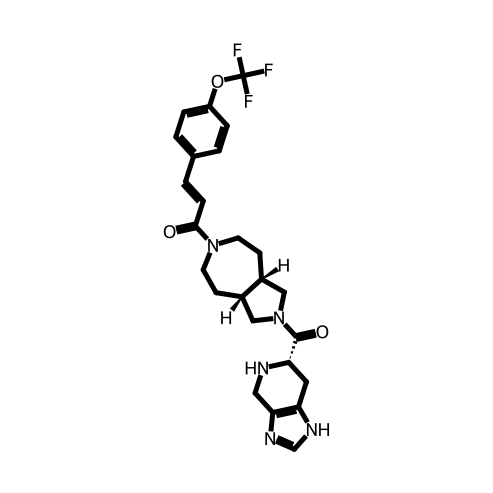 O=C(/C=C/c1ccc(OC(F)(F)F)cc1)N1CC[C@@H]2CN(C(=O)[C@@H]3Cc4[nH]cnc4CN3)C[C@@H]2CC1